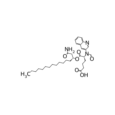 CCCCCCCCCCCCC[C@@H](CC(N)=O)OC(=O)[C@H](CCCC(=O)O)N(C=O)c1cnc2ccccc2c1